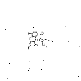 CCCCC1C(N)CN1C(=O)c1ccc(F)c(F)c1Nc1ccc(I)cc1F